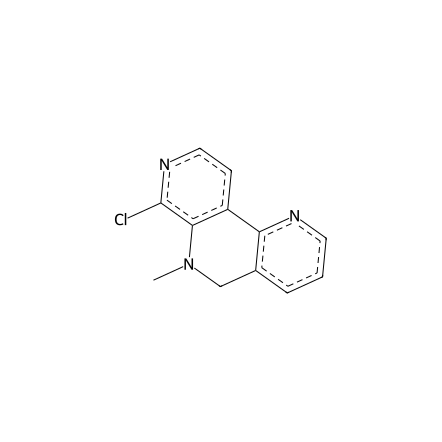 CN1Cc2cccnc2-c2ccnc(Cl)c21